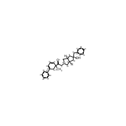 CC1(C(=O)CN2C[C@@H]3C[C@](O)(Cc4ccccc4)C[C@@H]3C2)C=CC=C(c2ccccc2)C1